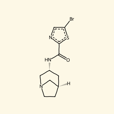 O=C(N[C@@H]1C[C@H]2CCN(C2)C1)c1ncc(Br)s1